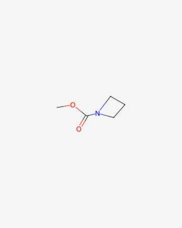 COC(=O)N1CCC1